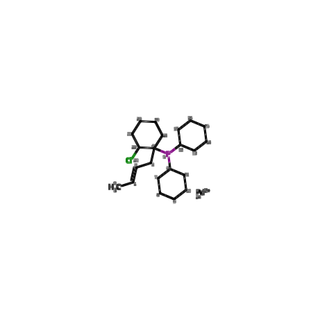 CC=CCC1(P(C2CCCCC2)C2CCCCC2)CCCCC1Cl.[Pd+2]